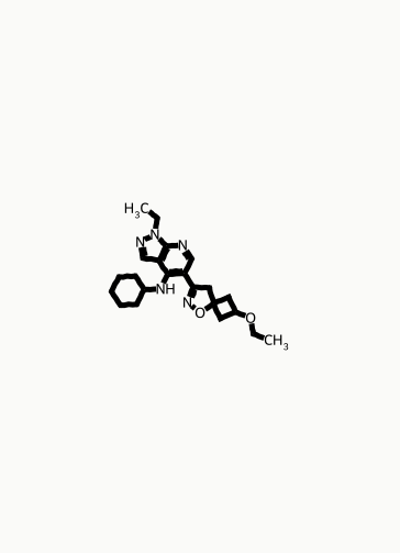 CCOC1CC2(CC(c3cnc4c(cnn4CC)c3NC3CCCCC3)=NO2)C1